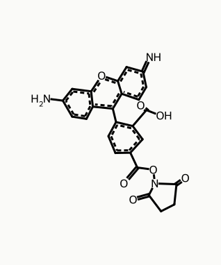 N=c1ccc2c(-c3ccc(C(=O)ON4C(=O)CCC4=O)cc3C(=O)O)c3ccc(N)cc3oc-2c1